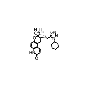 CC1(C)Oc2ccc3[nH]c(=O)ccc3c2CC1OCc1nnnn1C1CCCCC1